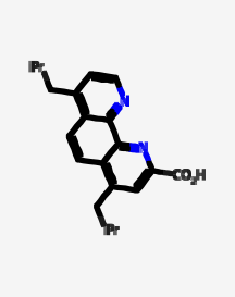 CC(C)Cc1ccnc2c1ccc1c(CC(C)C)cc(C(=O)O)nc12